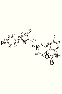 Cc1ccc2c(c1)C1(CCN(CCc3nc(-c4ccc(F)cc4)oc3C)CC1)OC(=O)N2